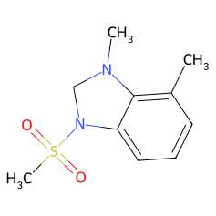 Cc1cccc2c1N(C)CN2S(C)(=O)=O